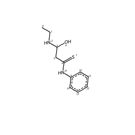 CCNC(O)CC(=S)Nc1ccccc1